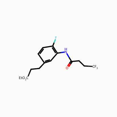 CCOC(=O)CCc1ccc(F)c(NC(=O)CCC(F)(F)F)c1